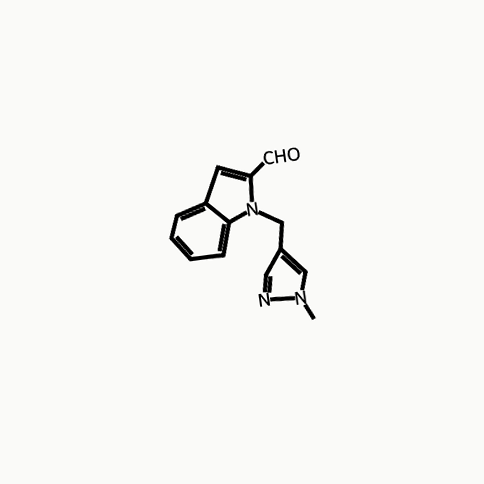 Cn1cc(Cn2c(C=O)cc3ccccc32)cn1